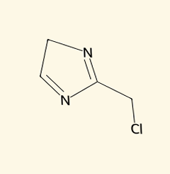 ClCC1=NCC=N1